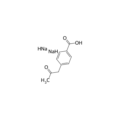 CC(=O)Cc1ccc(C(=O)O)cc1.[NaH].[NaH]